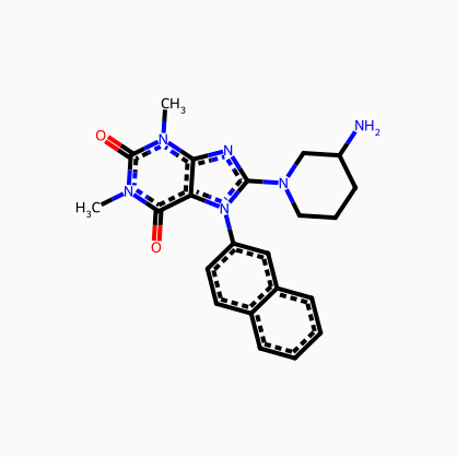 Cn1c(=O)c2c(nc(N3CCCC(N)C3)n2-c2ccc3ccccc3c2)n(C)c1=O